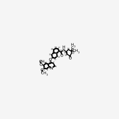 COc1cc2nccc(Oc3ccc4c(C(=O)NC5=CC(=O)CC(C)(C)C5)cccc4c3)c2cc1OC